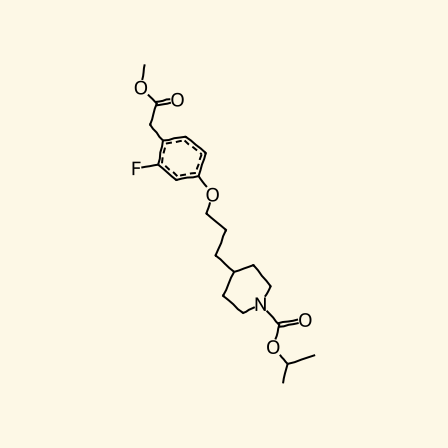 COC(=O)Cc1ccc(OCCCC2CCN(C(=O)OC(C)C)CC2)cc1F